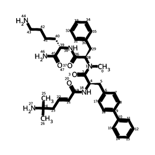 CN(C(=O)[C@@H](Cc1ccc(-c2ccccc2)cc1)NC(=O)C=CCC(C)(C)N)[C@H](Cc1ccccc1)C(=O)N[C@@H](CCCCN)C(N)=O